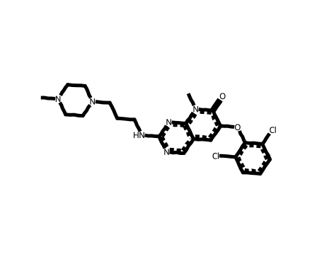 CN1CCN(CCCNc2ncc3cc(Oc4c(Cl)cccc4Cl)c(=O)n(C)c3n2)CC1